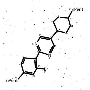 CCCCCc1ccc(-c2ncc(C3CCC(CCCCC)CC3)cn2)c(Br)c1